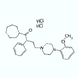 COc1ccccc1N1CCN(CCC(C(=O)C2CCCCCC2)c2ccccc2)CC1.Cl.Cl